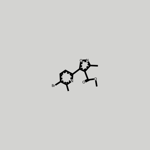 COC(=O)c1c(C)noc1-c1ccc(Br)c(C)n1